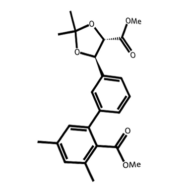 COC(=O)c1c(C)cc(C)cc1-c1cccc([C@H]2OC(C)(C)O[C@@H]2C(=O)OC)c1